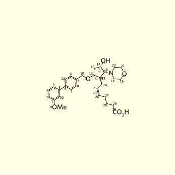 COc1cccc(-c2ccc(CO[C@H]3C[C@H](O)[C@H](N4CCOCC4)[C@H]3C/C=C\CCCC(=O)O)cc2)c1